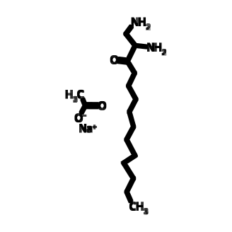 CC(=O)[O-].CCCCCCCCCCCC(=O)C(N)CN.[Na+]